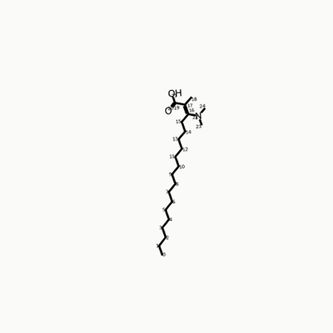 CCCCCCCCCCCCCCCC/C(=C(/C)C(=O)O)N(C)C